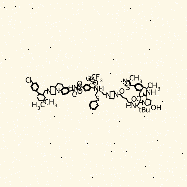 Cc1ncsc1-c1ccc([C@H](C)NC(=O)[C@@H]2C[C@@H](O)CN2C(=O)[C@@H](NC(=O)CCCC(=O)N2CCN(CC[C@H](CSc3ccccc3)Nc3ccc(S(=O)(=O)NC(=O)c4ccc5c(c4)CCC4CN(CC6=C(c7ccc(Cl)cc7)CCC(C)(C)C6)CCN54)cc3S(=O)(=O)C(F)(F)F)CC2)C(C)(C)C)cc1